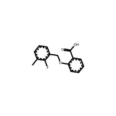 Cc1cccc(COc2ccccc2C(=O)O)c1F